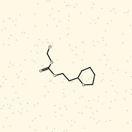 O=C(OCCl)OCCC1CCCCO1